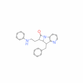 O=C1C(CCNc2ccccc2)C2C(Cc3ccccc3)c3ncccc3N12